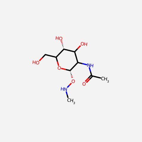 CNO[C@@H]1OC(CO)[C@H](O)C(O)C1NC(C)=O